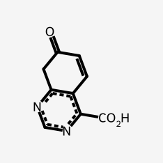 O=C1C=Cc2c(ncnc2C(=O)O)C1